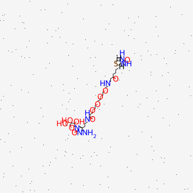 Nc1nc(=O)n([C@@H]2O[C@H](CO)[C@H](O)C2O)cc1CCCNC(=O)CCOCCOCCOCCOCCNCCC(=O)CCCC[C@@H]1SC[C@@H]2NC(=O)N[C@@H]21